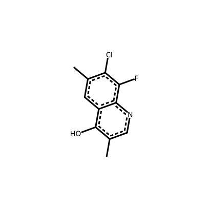 Cc1cc2c(O)c(C)cnc2c(F)c1Cl